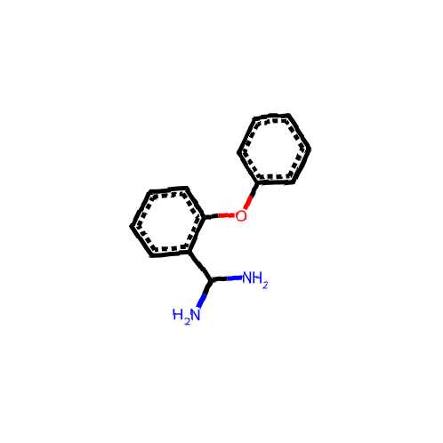 NC(N)c1ccccc1Oc1ccccc1